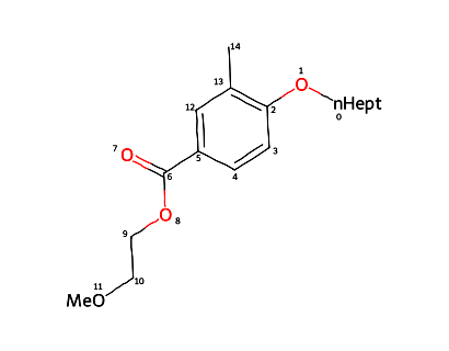 CCCCCCCOc1ccc(C(=O)OCCOC)cc1C